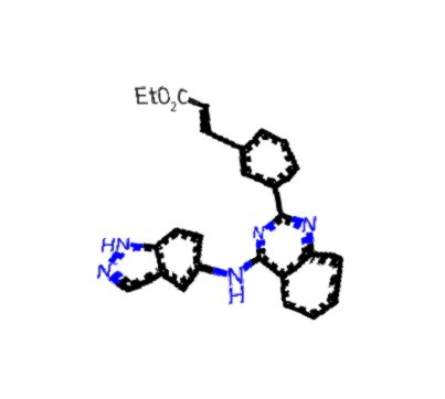 CCOC(=O)C=Cc1cccc(-c2nc(Nc3ccc4[nH]ncc4c3)c3ccccc3n2)c1